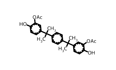 CC(=O)Oc1cc(C(C)(C)c2ccc(C(C)(C)c3ccc(O)c(OC(C)=O)c3)cc2)ccc1O